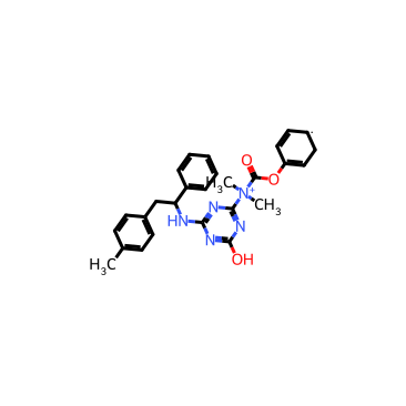 Cc1ccc(CC(Nc2nc(O)nc([N+](C)(C)C(=O)OC3=CC[CH]C=C3)n2)c2ccccc2)cc1